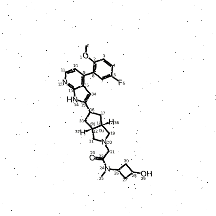 COc1ccc(F)cc1-c1ccnc2[nH]c(C3C[C@@H]4CN(CC(=O)N(C)C5CC(O)C5)C[C@@H]4C3)cc12